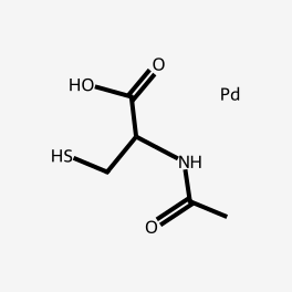 CC(=O)NC(CS)C(=O)O.[Pd]